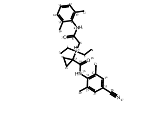 CC[PH](CC)(CC(=O)Nc1c(C)cccc1C)C1(C(=O)Nc2c(C)cc(C#N)cc2C)CC1